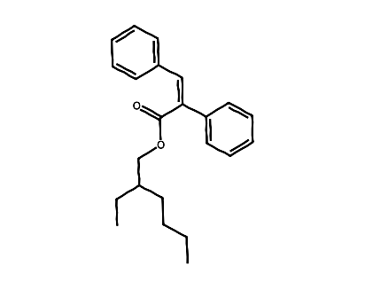 CCCCC(CC)COC(=O)C(=Cc1ccccc1)c1ccccc1